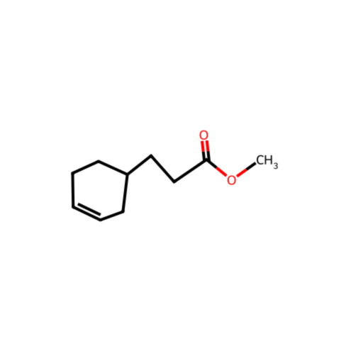 COC(=O)CCC1CC=CCC1